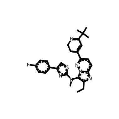 CCc1nc2ccc(C3=CC(C(C)(C)C)=NCC3)nn2c1N(C)c1nc(-c2ccc(F)cc2)cs1